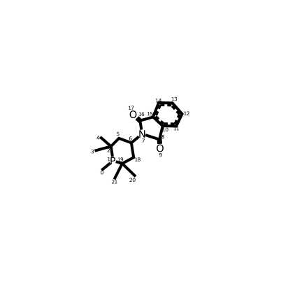 CP1C(C)(C)CC(N2C(=O)c3ccccc3C2=O)CC1(C)C